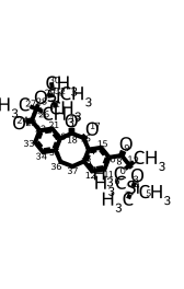 CC(C)(O[Si](C)(C)C)C(=O)c1ccc2c(c1)C(=O)C(=O)c1cc(C(=O)C(C)(C)O[Si](C)(C)C)ccc1CC2